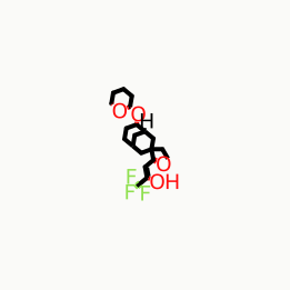 CCC1(C(=O)/C=C(\O)C(F)(F)F)CC2CCC(OC3CCCCO3)[C@H](C2)C1